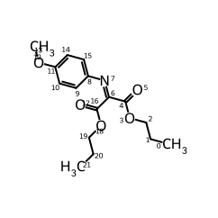 CCCOC(=O)C(=Nc1ccc(OC)cc1)C(=O)OCCC